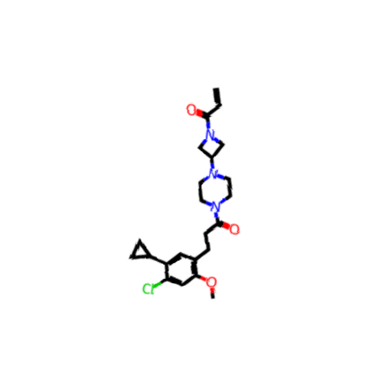 C=CC(=O)N1CC(N2CCN(C(=O)CCc3cc(C4CC4)c(Cl)cc3OC)CC2)C1